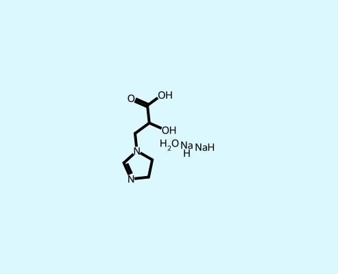 O.O=C(O)C(O)CN1C=NCC1.[NaH].[NaH]